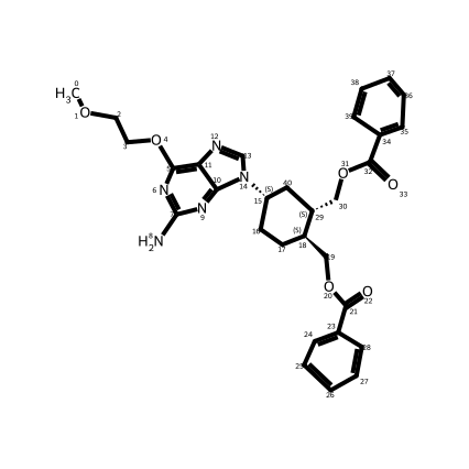 COCCOc1nc(N)nc2c1ncn2[C@H]1CC[C@H](COC(=O)c2ccccc2)[C@@H](COC(=O)c2ccccc2)C1